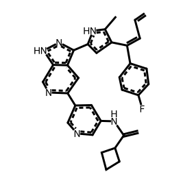 C=C/C=C(/c1ccc(F)cc1)c1cc(-c2n[nH]c3cnc(-c4cncc(NC(=C)C5CCC5)c4)cc23)[nH]c1C